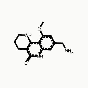 COc1cc(CN)cc2[nH]c(=O)c3c(c12)NCCC3